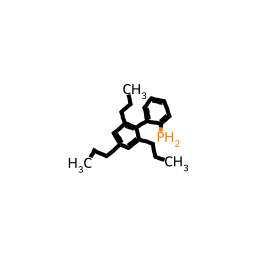 CCCc1cc(CCC)c(-c2ccccc2P)c(CCC)c1